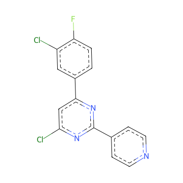 Fc1ccc(-c2cc(Cl)nc(-c3ccncc3)n2)cc1Cl